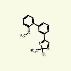 CCC1(C(=O)O)N=NC(c2cccc(-c3ccccc3OC(F)(F)F)c2)=N1